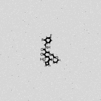 O=C(NCc1ccc(F)cc1F)c1cn2c(c(O)c1=O)C(=C1CCC1)N1CCCOC1C2